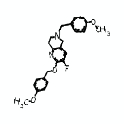 COc1ccc(COc2nc3c(cc2F)CN(Cc2ccc(OC)cc2)CC3)cc1